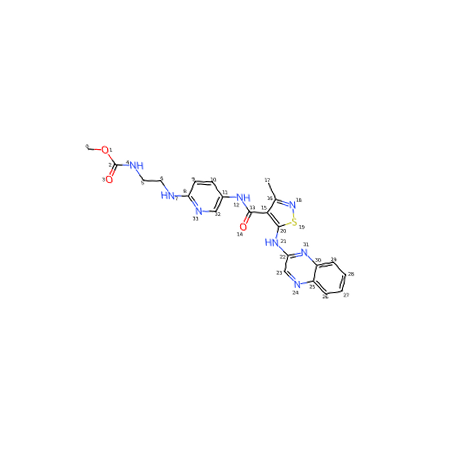 COC(=O)NCCNc1ccc(NC(=O)c2c(C)nsc2Nc2cnc3ccccc3n2)cn1